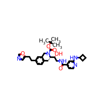 CC(C)(C)OC(=O)N1Cc2cc(CCc3cnco3)ccc2C[C@H]1[C@H](O)CNC(=O)c1ccnc(NC2CCC2)c1